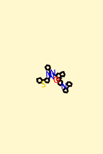 CC12c3ccccc3C=C(c3nc(-c4ccccc4)nc(-c4ccc5sc6ccccc6c5c4)n3)C1Oc1ccc(-n3c4ccccc4c4ccccc43)cc12